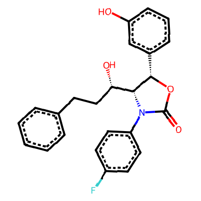 O=C1O[C@@H](c2cccc(O)c2)[C@@H]([C@@H](O)CCc2ccccc2)N1c1ccc(F)cc1